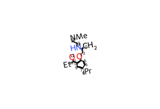 C=C(COc1ccc(C(C)C)cc1C(=O)CC)NCCNC